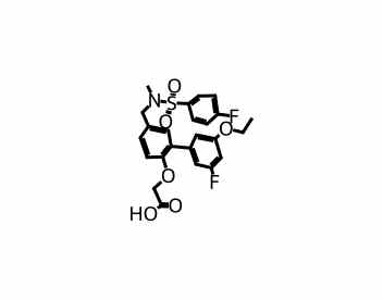 CCOc1cc(F)cc(-c2cc(CN(C)S(=O)(=O)c3ccc(F)cc3)ccc2OCC(=O)O)c1